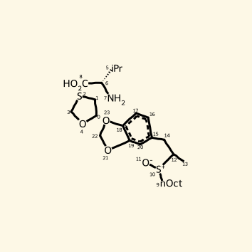 C1CSCO1.CC(C)[C@H](N)C(=O)O.CCCCCCCC[S+]([O-])C(C)Cc1ccc2c(c1)OCO2